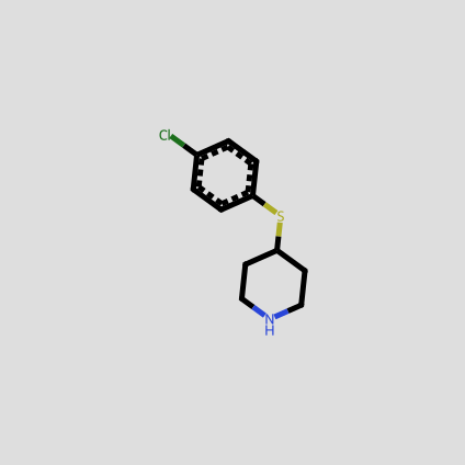 Clc1ccc(SC2CCNCC2)cc1